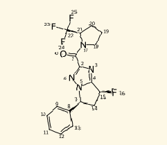 O=C(c1nc2n(n1)[C@H](c1ccccc1)C[C@@H]2F)N1CCC[C@@H]1C(F)(F)F